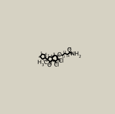 CC1(C2CCCC2)Cc2cc(OCCCC(N)=O)c(Cl)c(Cl)c2C1=O